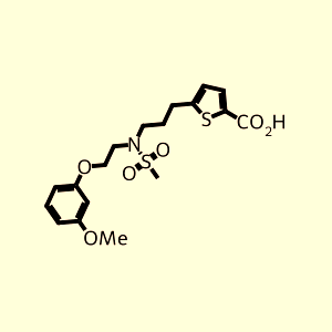 COc1cccc(OCCN(CCCc2ccc(C(=O)O)s2)S(C)(=O)=O)c1